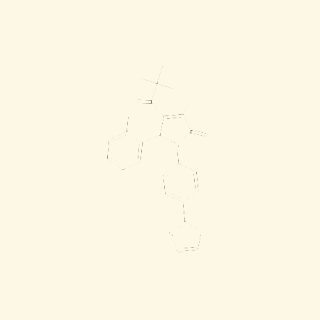 COc1ccccc1C1C(C(=O)C(C)(C)C)=C(O)C(=O)N1c1ccc(-c2nnco2)cc1